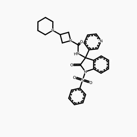 O=C(NC1(c2cccnc2)C(=O)N(S(=O)(=O)c2ccccc2)c2ccccc21)N1CC(N2CCCCC2)C1